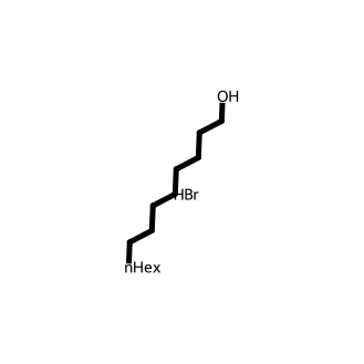 Br.CCCCCCCCCCCCCCO